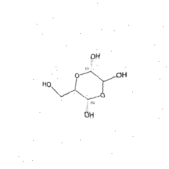 OCC1O[C@H](O)C(O)O[C@@H]1O